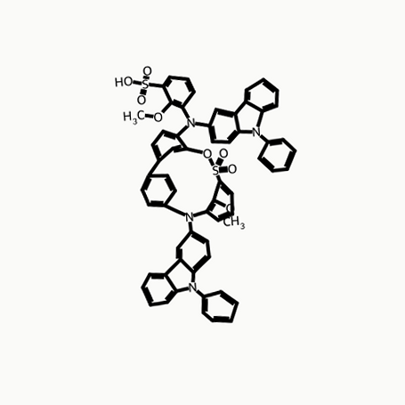 COc1c(N(c2ccc3c(c2)c2ccccc2n3-c2ccccc2)c2ccc3cc2OS(=O)(=O)c2cccc(c2OC)N(c2ccc4c(c2)c2ccccc2n4-c2ccccc2)c2ccc-3cc2)cccc1S(=O)(=O)O